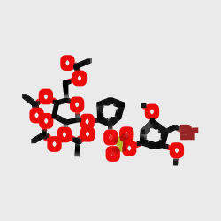 COc1cc(OS(=O)(=O)Oc2ccccc2OC2O[C@H](COC(C)=O)[C@H](OC(C)=O)[C@H](OC(C)=O)[C@H]2OC(C)=O)cc(OC)c1CBr